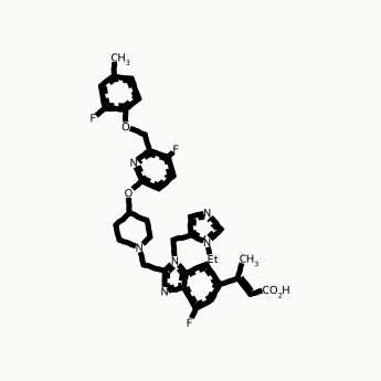 CCn1cncc1Cn1c(CN2CCC(Oc3ccc(F)c(COc4ccc(C)cc4F)n3)CC2)nc2c(F)cc(/C(C)=C/C(=O)O)cc21